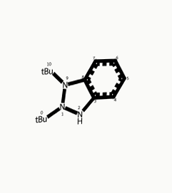 CC(C)(C)N1Nc2ccccc2N1C(C)(C)C